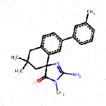 Cc1cccc(-c2ccc3c(c2)C2(CC(C)(C)C3)N=C(N)N(C)C2=O)c1